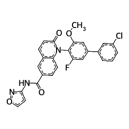 COc1cc(-c2cccc(Cl)c2)cc(F)c1-n1c(=O)ccc2cc(C(=O)Nc3ccon3)ccc21